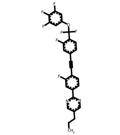 CCCc1cnc(-c2ccc(C#Cc3ccc(C(F)(F)Oc4cc(F)c(F)c(F)c4)c(F)c3)c(F)c2)nc1